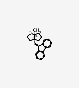 C[C@]12CCC[C@@]1(C=C1c3ccccc3-c3ccccc31)CCO2